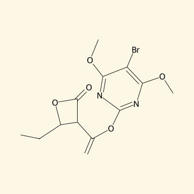 C=C(Oc1nc(OC)c(Br)c(OC)n1)C1C(=O)OC1CC